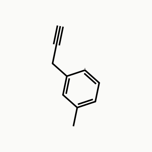 C#CCc1[c]ccc(C)c1